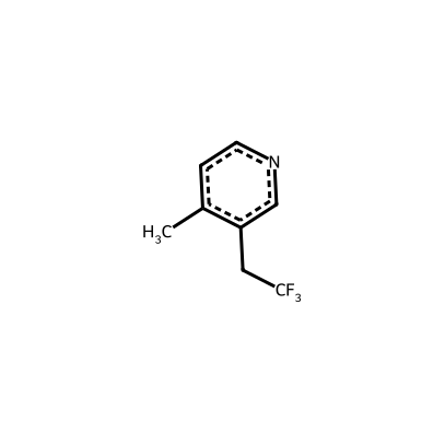 Cc1ccncc1CC(F)(F)F